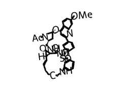 COc1ccc2c(O[C@@H]3C[C@@H](C(=O)N[C@]45C[C@H]4/C=C/CCCCNc4ccccc4S(=O)(=O)NC5=O)N(C(C)=O)C3)cc(-c3ccccc3)nc2c1